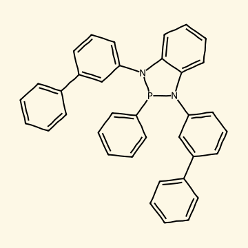 c1ccc(-c2cccc(N3c4ccccc4N(c4cccc(-c5ccccc5)c4)P3c3ccccc3)c2)cc1